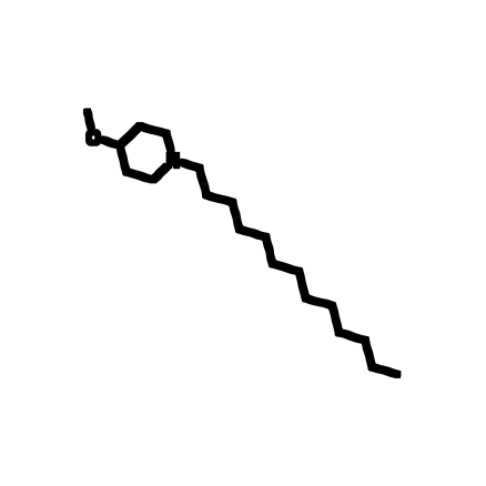 CCCCCCCCCCCCCN1CCC(OC)CC1